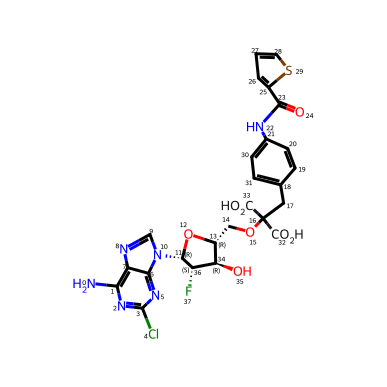 Nc1nc(Cl)nc2c1ncn2[C@@H]1O[C@H](COC(Cc2ccc(NC(=O)c3cccs3)cc2)(C(=O)O)C(=O)O)[C@@H](O)[C@@H]1F